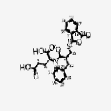 O=C(O)CC[C@H](NC(=O)C(CSC1OC(=O)c2ccccc21)Cc1ccccc1)C(=O)O